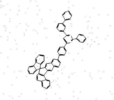 c1ccc(-c2cccc(-c3cc(-c4ccc(-c5ccc6cc7c(cc6c5)C5(c6ccccc6-c6ccccc65)c5ccc6ccccc6c5-7)cc4)nc(-c4ccccc4)n3)c2)cc1